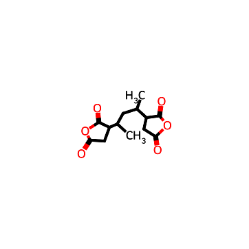 CC(CC(C)C1CC(=O)OC1=O)C1CC(=O)OC1=O